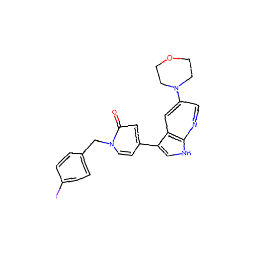 O=c1cc(-c2c[nH]c3ncc(N4CCOCC4)cc23)ccn1Cc1ccc(I)cc1